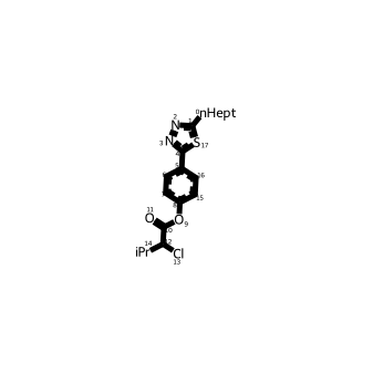 CCCCCCCc1nnc(-c2ccc(OC(=O)C(Cl)C(C)C)cc2)s1